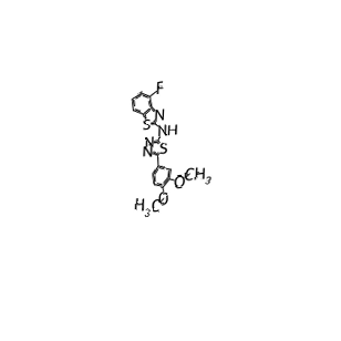 COc1ccc(-c2nnc(Nc3nc4c(F)cccc4s3)s2)cc1OC